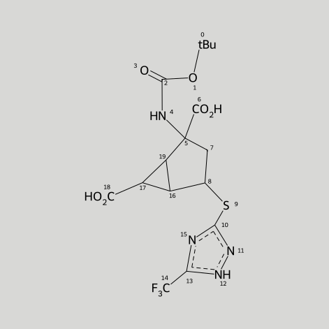 CC(C)(C)OC(=O)NC1(C(=O)O)CC(Sc2n[nH]c(C(F)(F)F)n2)C2C(C(=O)O)C21